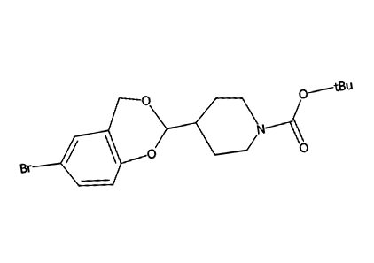 CC(C)(C)OC(=O)N1CCC(C2OCc3cc(Br)ccc3O2)CC1